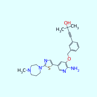 CN1CCCN(c2ncc(-c3cnc(N)c(OCc4cccc(C#CC(C)(C)O)c4)c3)s2)CC1